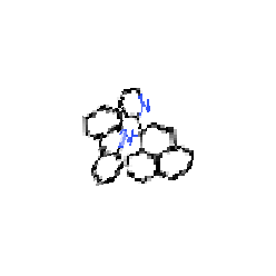 C1=CC(c2ccccn2)(n2c3ccccc3c3ccccc32)c2cccc3cccc1c23